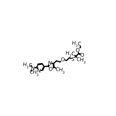 CCOC(=O)C(C)(C)SCCOCCc1nc(-c2ccc(N(C)C)nc2)oc1C